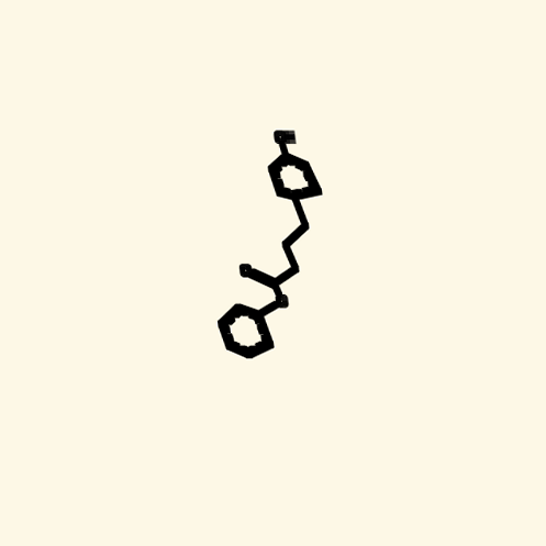 O=C(CCCc1ccc(O)cc1)Oc1ccccc1